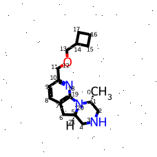 C[C@@H]1CNC[C@H]2Cc3ccc(COCC4CCC4)nc3N21